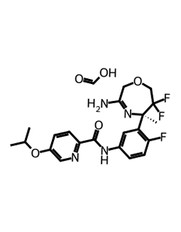 CC(C)Oc1ccc(C(=O)Nc2ccc(F)c([C@@]3(C)N=C(N)COCC3(F)F)c2)nc1.O=CO